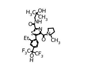 CCc1cc(C(O)(C(F)(F)F)C(F)(F)F)ccc1-c1sc(C(=O)NCC(C)(C)O)nc1C(=O)N1CCCC1C